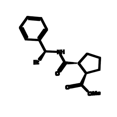 CC[C@H](NC(=O)[C@@H]1CCC[C@H]1C(=O)OC)c1ccccc1